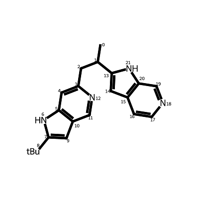 CC(Cc1cc2[nH]c(C(C)(C)C)cc2cn1)c1cc2ccncc2[nH]1